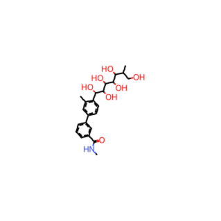 CNC(=O)c1cccc(-c2ccc([C@@H](O)C(O)C(O)C(O)C(O)C(C)CO)c(C)c2)c1